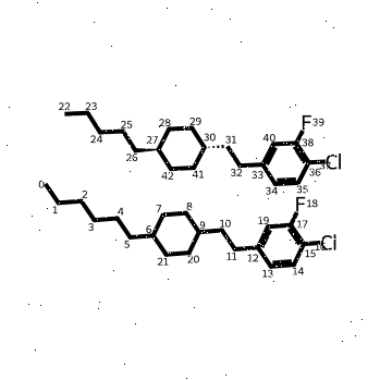 CCCCCCC1CCC(CCc2ccc(Cl)c(F)c2)CC1.CCCCC[C@H]1CC[C@H](CCc2ccc(Cl)c(F)c2)CC1